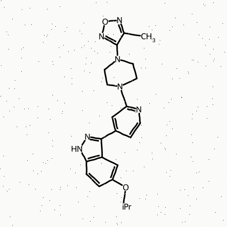 Cc1nonc1N1CCN(c2cc(-c3n[nH]c4ccc(OC(C)C)cc34)ccn2)CC1